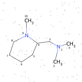 CN(C)CC1CCCCN1C